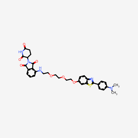 CN(C)c1ccc(-c2nc3ccc(OCCOCCOCCNc4cccc5c4C(=O)N(C4CCC(=O)NC4=O)C5=O)cc3s2)cc1